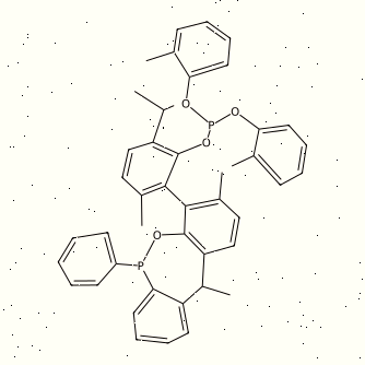 Cc1ccccc1OP(Oc1ccccc1C)Oc1c(C(C)C)ccc(C)c1-c1c(C)ccc2c1OP(c1ccccc1)c1ccccc1C2C